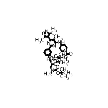 Cc1noc(C)c1-c1nc(-c2cccc(OC[C@H](CN(C)C(=O)OC(C)(C)C)O[Si](C)(C)C(C)(C)C)c2)nc(NC2CCN(C(=O)O)CC2)c1C